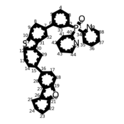 O=P(c1cccc(-c2ccc3sc4ccc(-c5ccc6oc7ccccc7c6c5)cc4c3c2)c1)(c1ccccn1)c1ccccn1